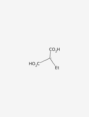 CC[C](C(=O)O)C(=O)O